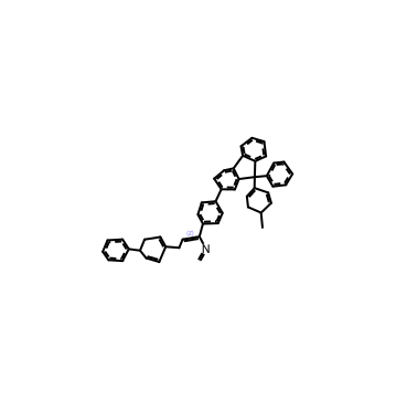 C=N/C(=C\CC1=CCC(c2ccccc2)C=C1)c1ccc(-c2ccc3c(c2)C(C2=CCC(C)C=C2)(c2ccccc2)c2ccccc2-3)cc1